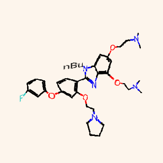 CCCCn1c(-c2ccc(Oc3cccc(F)c3)cc2OCCN2CCCC2)nc2c(OCCN(C)C)cc(OCCN(C)C)cc21